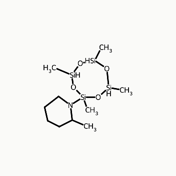 CC1CCCCN1[Si]1(C)O[SiH](C)O[SiH](C)O[SiH](C)O1